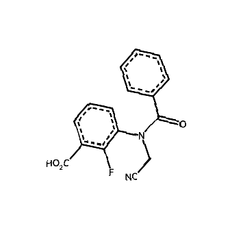 N#CCN(C(=O)c1ccccc1)c1cccc(C(=O)O)c1F